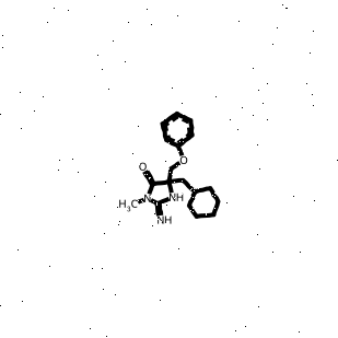 CN1C(=N)NC(COc2ccccc2)(CC2CCCCC2)C1=O